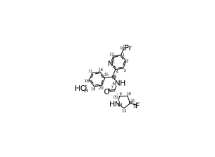 CC(C)c1ccc([C@@H](NC(=O)[C@@H]2C[C@@H](F)CN2)c2ccccc2)nc1.Cl